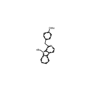 CCCCn1c2ccccc2c2ccnc(Cc3ccc(OC)cc3)c21